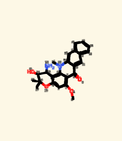 COc1cc2c(c3c1c(=O)c1cc4ccccc4cc1n3C)C(N)C(O)C(C)(C)O2